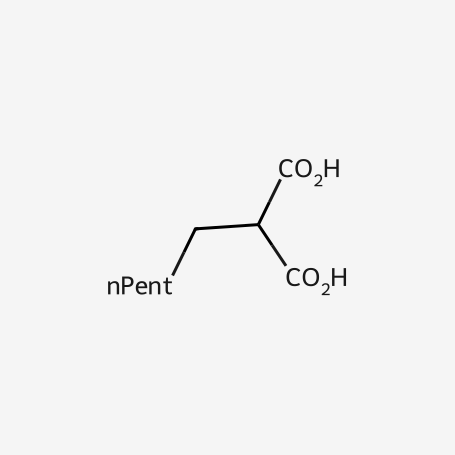 CCC[CH]CCC(C(=O)O)C(=O)O